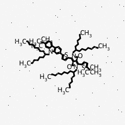 CCCCCCCCC(CCCCCC)CN1C(=O)C2=C(c3ccc(C(C)(C)C)s3)N(CC(CCCCCC)CCCCCCCC)C(=O)C2=C1c1ccc(-c2ccc3c4ccc(C(C)(C)C)cc4n(CC(CCCCCC)CCCCCCCC)c3c2)s1